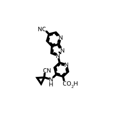 N#Cc1cnc2nn(-c3cc(NC4(C#N)CC4)c(C(=O)O)cn3)cc2c1